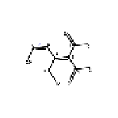 C=C(C)C(C(=C)C)=C(/C=C\C)CC